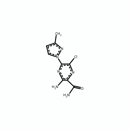 Cc1ccn(-c2nc(N)c(C(N)=O)nc2Cl)n1